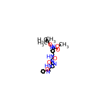 CCOC(=O)c1nn(COCC[Si](C)(C)C)c2ccc(CNC(=O)Cn3cnc4c(c3=O)NC(c3cnc(-c5ccccc5)o3)CC4)cc12